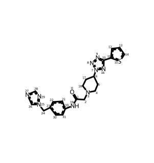 O=C(CN1CCC(n2nnc(-c3cccs3)n2)CC1)Nc1ccc(Cn2cncn2)cc1